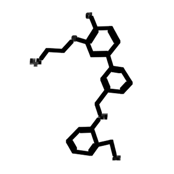 CC(=O)Cc1ccccc1NCc1cccc(-c2ccc(Cl)c(OCCN)c2)c1